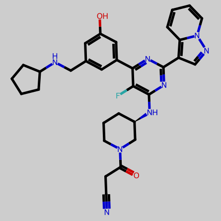 N#CCC(=O)N1CCC[C@@H](Nc2nc(-c3cnn4ccccc34)nc(-c3cc(O)cc(CNC4CCCC4)c3)c2F)C1